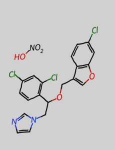 Clc1ccc(C(Cn2ccnc2)OCc2coc3cc(Cl)ccc23)c(Cl)c1.O=[N+]([O-])O